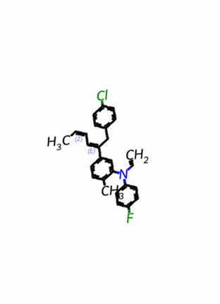 C=CN(c1ccc(F)cc1)c1cc(/C(=C/C=C\C)Cc2ccc(Cl)cc2)ccc1C